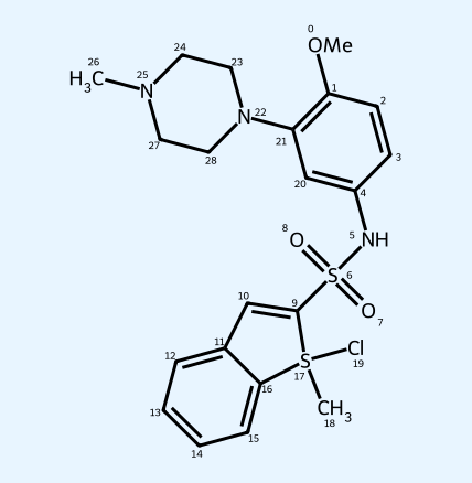 COc1ccc(NS(=O)(=O)C2=Cc3ccccc3S2(C)Cl)cc1N1CCN(C)CC1